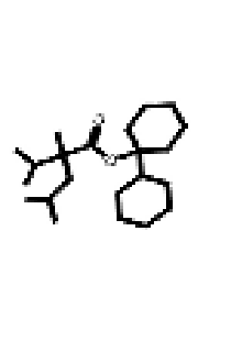 CC(C)CC(C)(C(=O)OC1(C2CCCCC2)CCCCC1)C(C)C